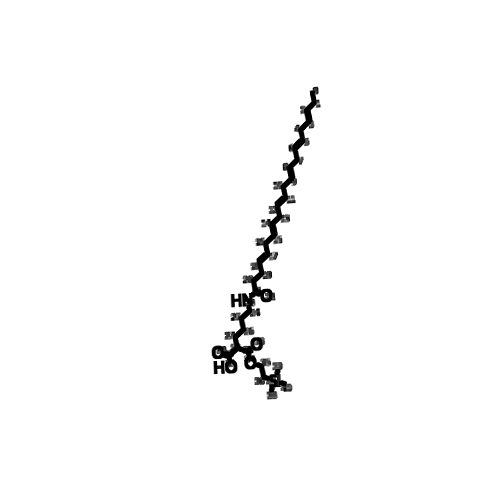 CCC=CCC=CCC=CCC=CCC=CCC=CCCC(=O)NCCCCC(C(=O)O)C(=O)OCC[Si](C)(C)C